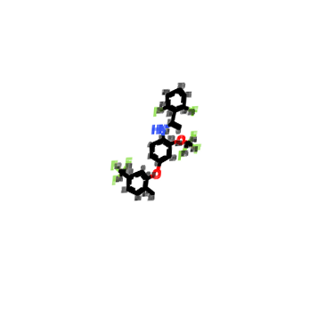 C=C(Nc1ccc(Oc2cc(C(F)(F)F)ccc2C)cc1OC(F)(F)F)c1c(F)cccc1F